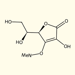 CNOC1=C(O)C(=O)O[C@@H]1[C@@H](O)CO